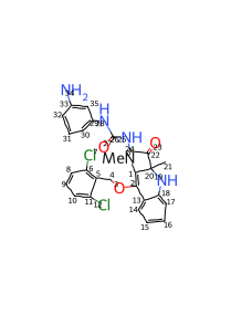 CNC1=C(OCc2c(Cl)cccc2Cl)c2ccccc2NC1(C)C(=O)CNC(=O)Nc1cccc(N)c1